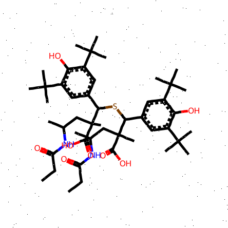 CCC(=O)NC(C)CC(C)(C(=O)O)C(SC(c1cc(C(C)(C)C)c(O)c(C(C)(C)C)c1)C(C)(CC(C)NC(=O)CC)C(=O)O)c1cc(C(C)(C)C)c(O)c(C(C)(C)C)c1